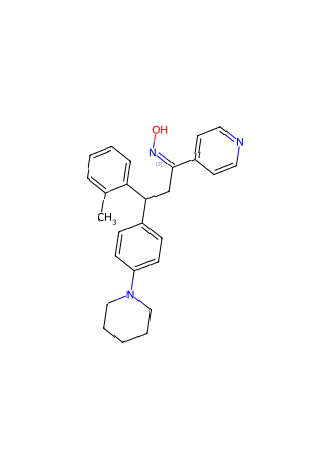 Cc1ccccc1C(C/C(=N/O)c1ccncc1)c1ccc(N2CCCCC2)cc1